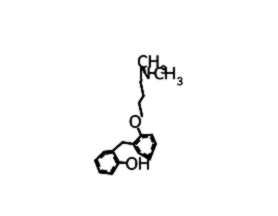 CN(C)CCCCOc1ccccc1Cc1ccccc1O